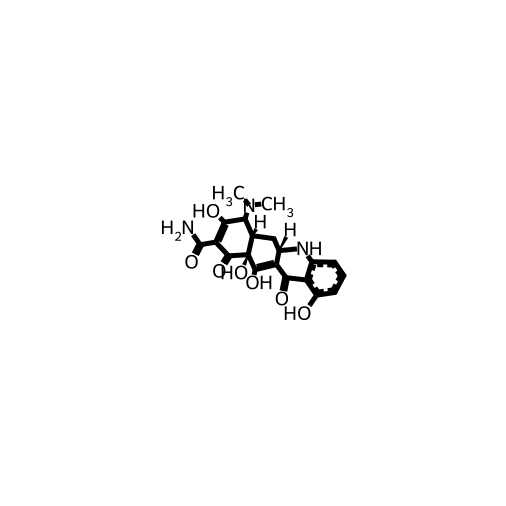 CN(C)C1C(O)=C(C(N)=O)C(=O)[C@@]2(O)C(O)=C3C(=O)c4c(O)cccc4N[C@H]3C[C@@H]12